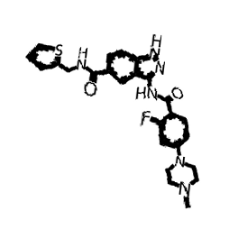 CN1CCN(c2ccc(C(=O)Nc3n[nH]c4ccc(C(=O)NCc5cccs5)cc34)c(F)c2)CC1